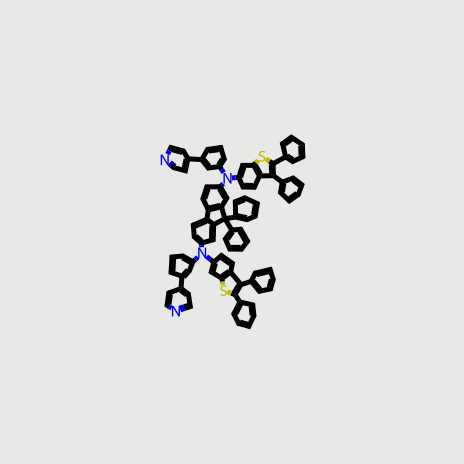 c1ccc(-c2sc3cc(N(c4cccc(-c5ccncc5)c4)c4ccc5c(c4)C(c4ccccc4)(c4ccccc4)c4cc(N(c6cccc(-c7ccncc7)c6)c6ccc7c(-c8ccccc8)c(-c8ccccc8)sc7c6)ccc4-5)ccc3c2-c2ccccc2)cc1